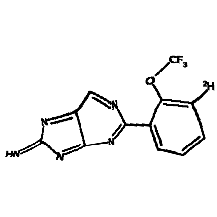 [2H]c1cccc(-c2ncc3c(n2)=NC(=N)N=3)c1OC(F)(F)F